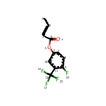 C/C=C/C(=O)Oc1ccc(F)c(C(F)(F)F)c1